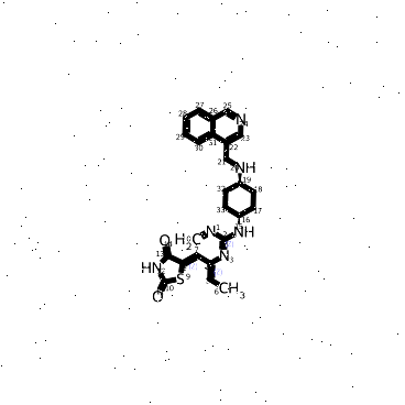 C=N\C(=N/C(=C\C)/C=C1\SC(=O)NC1=O)N[C@H]1CC[C@H](NCc2cncc3ccccc23)CC1